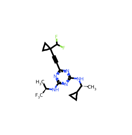 C[C@@H](Nc1nc(C#CC2(C(F)F)CC2)nc(N[C@H](C)C(F)(F)F)n1)C1CC1